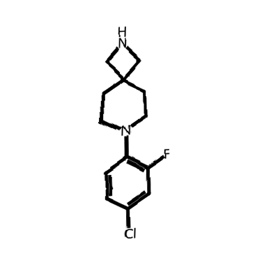 Fc1cc(Cl)ccc1N1CCC2(CC1)CNC2